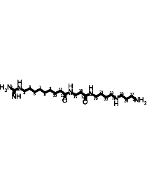 N=C(N)NCCCCCCCCC(=O)NCCC(=O)NCCCCNCCCN